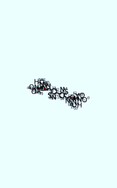 COC(=O)N[C@H](C(=O)N1CCC[C@@]1(C)c1nc(-c2ccc(-c3ccc(-c4c[nH]c([C@]5(C)CCCN5C(=O)[C@@H](NC(=O)OC)C(C)C)n4)c4scnc34)c3ncsc23)c[nH]1)C(C)C